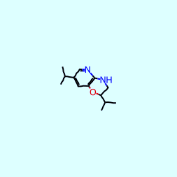 CC(C)c1cnc2c(c1)OC(C(C)C)CN2